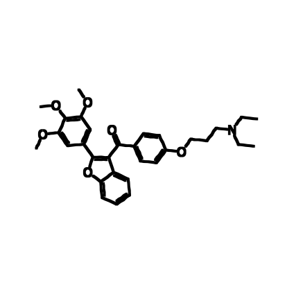 CCN(CC)CCCOc1ccc(C(=O)c2c(-c3cc(OC)c(OC)c(OC)c3)oc3ccccc23)cc1